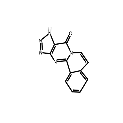 O=c1c2[nH]nnc2nc2c3ccccc3ccn12